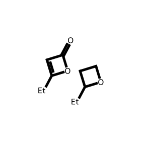 CCC1=CC(=O)O1.CCC1CCO1